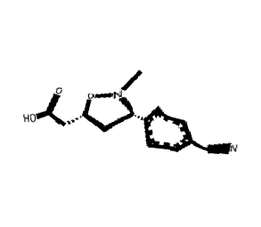 CN1O[C@@H](CC(=O)O)C[C@H]1c1ccc(C#N)cc1